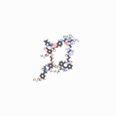 COc1ccc(C2=CN3C(=O)c4cc(OC)c(OCCCOc5cc6c(cc5OC)C(=O)N5CC7(CC7)C[C@H]5C(O)N6C(=O)OCc5ccc(NC(=O)[C@H](C)NC(=O)[C@@H](NC(=O)CNC(=O)CNC(=O)CCC(=O)N6Cc7ccccc7-c7c(nnn7C(C)S)-c7ccccc76)C(C)C)cc5)cc4N=C[C@@H]3C2)cc1